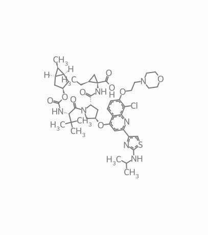 CC[C@H]1C[C@]1(NC(=O)[C@@H]1C[C@@H](Oc2cc(-c3csc(NC(C)C)n3)nc3c(Cl)c(OCCN4CCOCC4)ccc23)CN1C(=O)[C@@H](NC(=O)O[C@@H]1C[C@@H]2[C@H](C)[C@@H]2C1)C(C)(C)C)C(=O)O